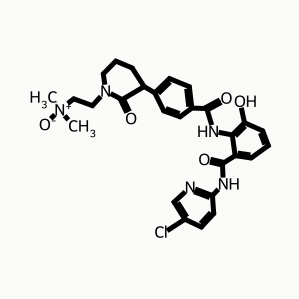 C[N+](C)([O-])CCN1CCCC(c2ccc(C(=O)Nc3c(O)cccc3C(=O)Nc3ccc(Cl)cn3)cc2)C1=O